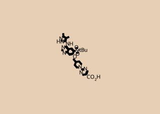 Cc1n[nH]c(Nc2ncnc3cc(OCC4CCN(c5ncc(C(=O)O)cn5)CC4)c(S(=O)(=O)C(C)(C)C)cc23)c1C